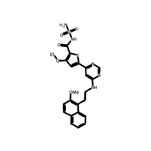 CCOc1cc(-c2cc(NCCc3c(OC)ccc4ccccc34)ncn2)sc1C(=O)NS(N)(=O)=O